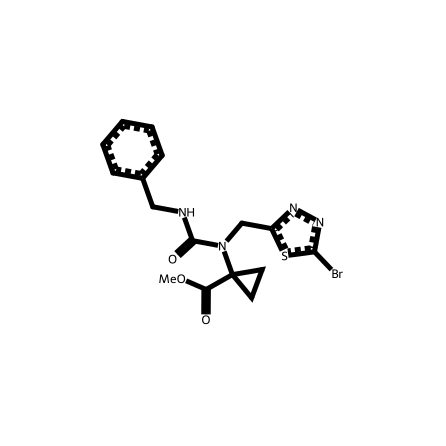 COC(=O)C1(N(Cc2nnc(Br)s2)C(=O)NCc2ccccc2)CC1